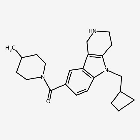 CC1CCN(C(=O)c2ccc3c(c2)c2c(n3CC3CCC3)CCNC2)CC1